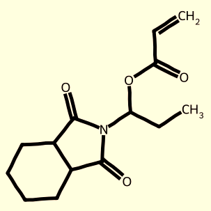 C=CC(=O)OC(CC)N1C(=O)C2CCCCC2C1=O